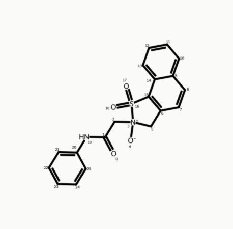 O=C(C[N+]1([O-])Cc2ccc3ccccc3c2S1(=O)=O)Nc1ccccc1